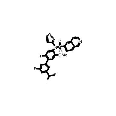 COc1cc(-c2cc(F)cc(C(F)F)c2)c(F)cc1N(c1ccon1)S(=O)(=O)c1ccc2cnccc2c1